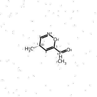 C[C@@H]1C=NOC([PH](C)=O)=C1